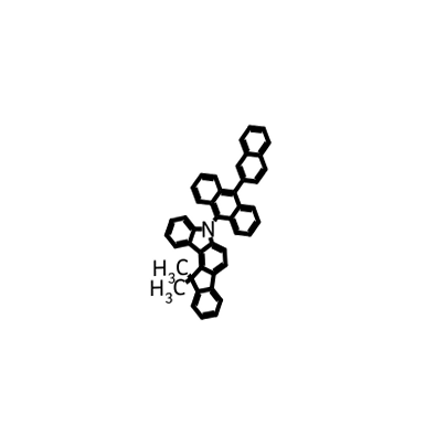 CC1(C)c2ccccc2-c2ccc3c(c21)c1ccccc1n3-c1c2ccccc2c(-c2ccc3ccccc3c2)c2ccccc12